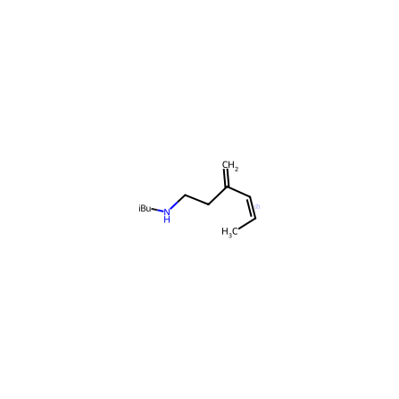 C=C(/C=C\C)CCNC(C)CC